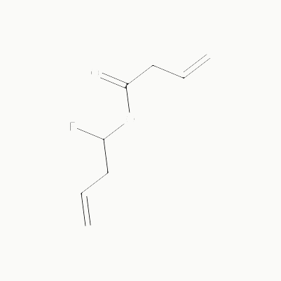 C=CCC(=O)OC(F)CC=C